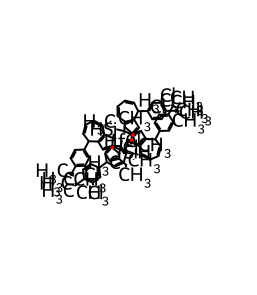 CCC1=CC2=C(C=CC=CC2c2ccc(C(C)(C)C)c(Cl)c2)[C]12[SiH](C)[C]1(C(CC)=CC3=C1C=CC=CC3c1ccc(C(C)(C)C)c(Cl)c1)[Hf]21([Cl])([Cl])[C]2(C(CC)=CC3=C2C=CC=CC3c2ccc(C(C)(C)C)c(Cl)c2)[SiH](C)[C]12C(CC)=CC1=C2C=CC=CC1c1ccc(C(C)(C)C)c(Cl)c1